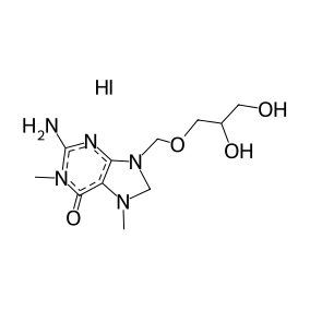 CN1CN(COCC(O)CO)c2nc(N)n(C)c(=O)c21.I